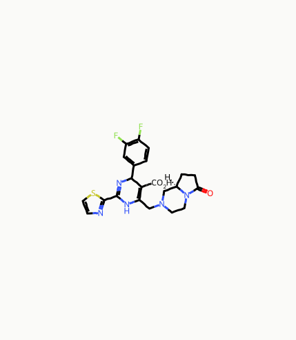 O=C(O)C1=C(CN2CCN3C(=O)CC[C@@H]3C2)NC(c2nccs2)=NC1c1ccc(F)c(F)c1